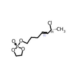 C[C@@H](Cl)/C=C/CCCOP1(=O)OCCO1